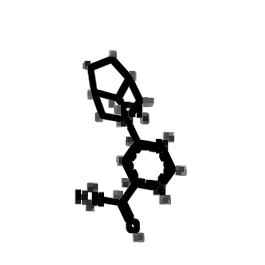 CC1C2CCC1CN(c1cc(C(N)=O)ncn1)C2